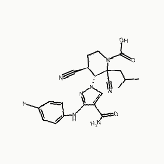 CC(C)CC1(C#N)[C@H](n2cc(C(N)=O)c(Nc3ccc(F)cc3)n2)[C@@H](C#N)CCN1C(=O)O